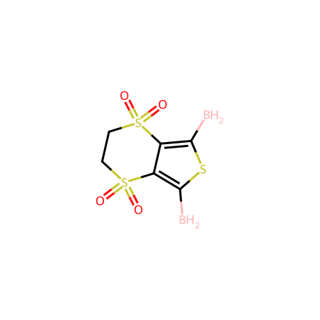 Bc1sc(B)c2c1S(=O)(=O)CCS2(=O)=O